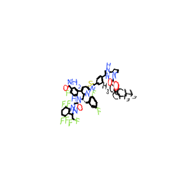 CC(C)(C)OC(=O)N1CCCC1c1nc(-c2ccc(-c3nc4nc([C@H](Cc5cc(F)cc(F)c5)NC(=O)Cn5nc(C(F)F)c6c5C(F)(F)CCC6(F)F)c(-c5ccc(F)c(C(N)=O)c5)cc4s3)cc2)c[nH]1